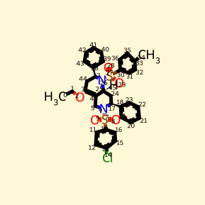 CCOC1=C2CN(S(=O)(=O)c3ccc(Cl)cc3)[C@H](c3ccccc3)C[C@@H]2N(S(=O)(=O)c2ccc(C)cc2)[C@H](c2ccccc2)C1